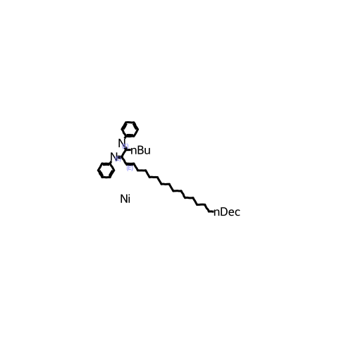 CCCCCCCCCCCCCCCCCCCCCCC/C=C/C(=N\c1ccccc1)C(/CCCC)=N/c1ccccc1.[Ni]